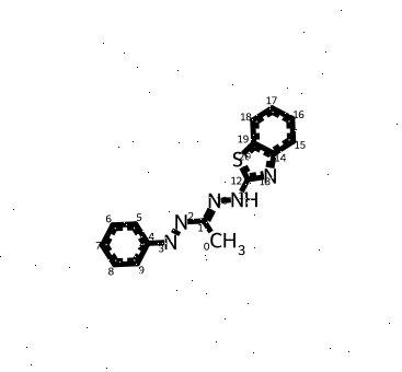 CC(/N=N/c1ccccc1)=N\Nc1nc2ccccc2s1